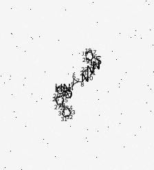 O=S(=O)(NCC1CC1CN1CCN(c2nsc3ccccc23)CC1)c1cccc(-c2ccccc2)c1